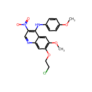 COc1ccc(Nc2c([N+](=O)[O-])cnc3cc(OCCCl)c(OC)cc23)cc1